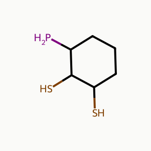 PC1CCCC(S)C1S